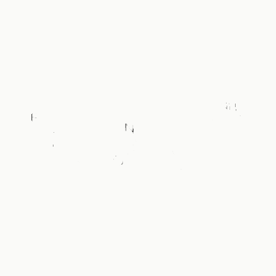 Nc1cccc(-c2nc3cc(F)ccc3o2)c1